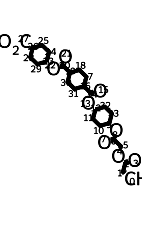 C=CC(=O)OCC(=O)OC1CCC(OC(=O)C2CCC(C(=O)OC3CCC(C(=O)O)CC3)CC2)CC1